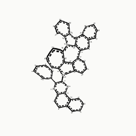 c1ccc(-c2nc3ccc4ccccc4c3nc2-n2c3cccc4c5cc6ccccc6c6c7ccccc7n(c7cccc2c7c43)c56)cc1